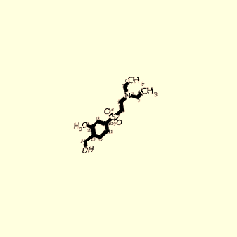 CCN(CC)CCS(=O)(=O)c1ccc(CO)c(C)c1